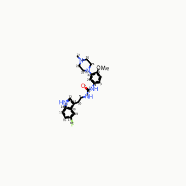 COc1ccc(NC(=O)NCCc2c[nH]c3ccc(F)cc23)cc1N1CCN(C)CC1